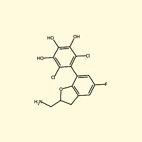 NCC1Cc2cc(F)cc(-c3c(Cl)c(O)c(O)c(O)c3Cl)c2O1